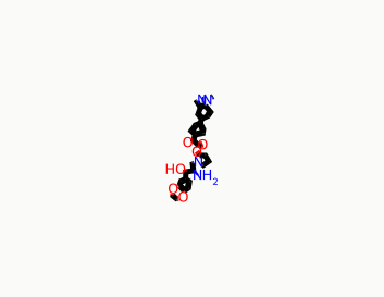 Cn1ncc2cc(-c3ccc(C(=O)C(=O)OC4CCCN4C[C@@H](N)[C@H](O)c4ccc5c(c4)OCCO5)cc3)ccc21